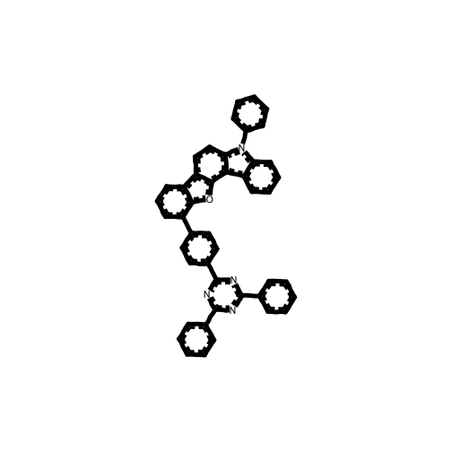 c1ccc(-c2nc(-c3ccccc3)nc(-c3ccc(-c4cccc5c4oc4c5ccc5c4c4ccccc4n5-c4ccccc4)cc3)n2)cc1